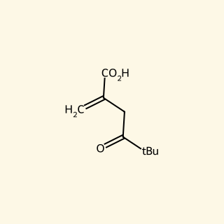 C=C(CC(=O)C(C)(C)C)C(=O)O